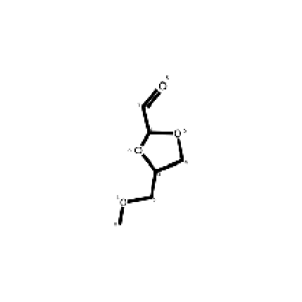 COCC1COC(C=O)O1